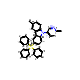 C=C/N=C\C(=C/C)n1c2ccc(C)cc2c2cc(S(c3ccccc3)(c3ccccc3)c3ccccc3)ccc21